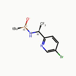 CC(C)(C)[S@@+]([O-])N[C@H](c1ccc(Br)cn1)C(F)(F)F